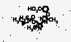 Cc1nc(-c2cnn(C)c2COC(=O)N(C)C[C@H]2C[C@@H]2C)ncc1OC1CCCC(C(=O)O)C1